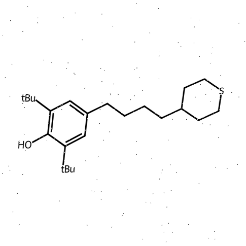 CC(C)(C)c1cc(CCCCC2CCSCC2)cc(C(C)(C)C)c1O